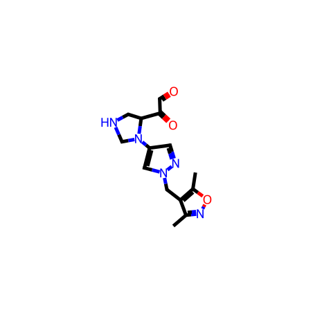 Cc1noc(C)c1Cn1cc(N2CNCC2C(=O)C=O)cn1